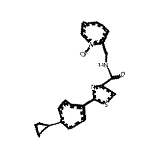 O=C(NCc1cccc[n+]1[O-])c1csc(-c2ccc(C3CC3)cc2)n1